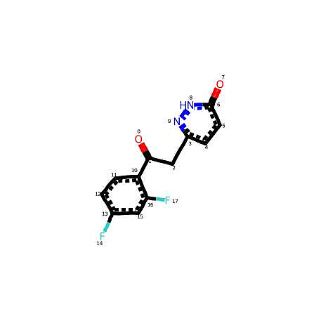 O=C(Cc1ccc(=O)[nH]n1)c1ccc(F)cc1F